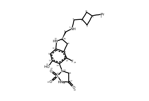 CC(C)C1CC(CNC[C@H]2Cc3c(cc(O)c(N4CC(=O)NS4(=O)=O)c3F)N2)C1